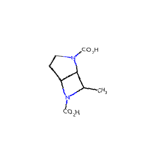 CC1C2C(CCN2C(=O)O)N1C(=O)O